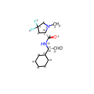 CN1CC(F)(F)C[C@H]1C(=O)N[C@H](C=O)C1CCCCC1